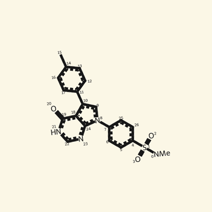 CNS(=O)(=O)c1ccc(-n2cc(-c3ccc(C)cc3)c3c(=O)[nH]cnc32)cc1